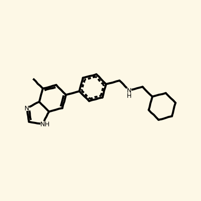 CC1=CC(c2ccc(CNCC3CCCCC3)cc2)=CC2NC=NC12